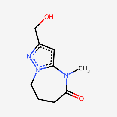 CN1C(=O)CCCn2nc(CO)cc21